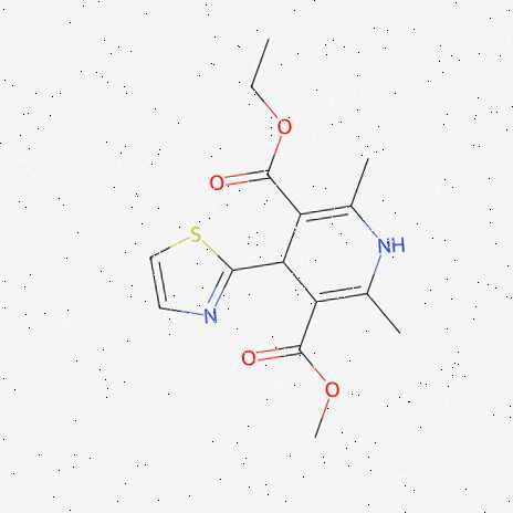 CCOC(=O)C1=C(C)NC(C)=C(C(=O)OC)C1c1nccs1